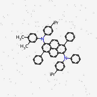 Cc1ccc(N(c2ccc(C(C)C)cc2)c2cc(-c3ccccc3)c3ccc4c(N(c5ccccc5)c5ccc(C(C)C)cc5)cc(-c5ccccc5)c5ccc2c3c54)cc1C